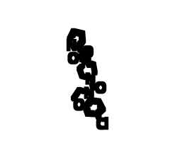 O=C(N1CCN(S(=O)(=O)c2ccccn2)CC1)N1CCOc2cc(Cl)ccc21